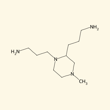 CN1CCN(CCCN)C(CCCN)C1